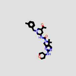 CC(=O)C1CC(NC(=O)N2Cc3nc(NC4CCOCC4)ncc3C2(C)C)CN(Cc2cccc(C)c2)C1